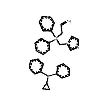 C=CC[Si](Cn1ccnc1)(c1ccccc1)c1ccccc1.c1ccc(B(c2ccccc2)C2CC2)cc1